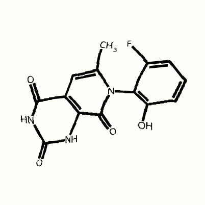 Cc1cc2c(=O)[nH]c(=O)[nH]c2c(=O)n1-c1c(O)cccc1F